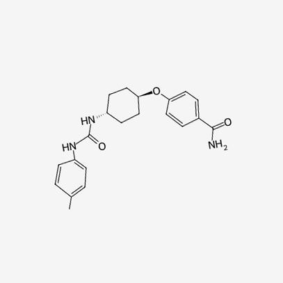 Cc1ccc(NC(=O)N[C@H]2CC[C@H](Oc3ccc(C(N)=O)cc3)CC2)cc1